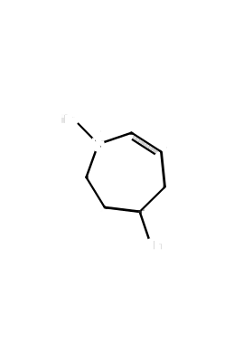 CC(C)C1CC=CN(C(C)C)CC1